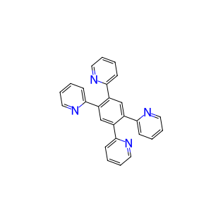 c1ccc(-c2cc(-c3ccccn3)c(-c3ccccn3)cc2-c2ccccn2)nc1